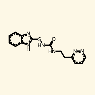 O=C(NCCc1cccnn1)NSc1nc2ccccc2[nH]1